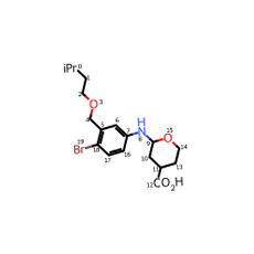 CC(C)CCOCc1cc(NC2CC(C(=O)O)CCO2)ccc1Br